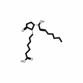 CCCCCC=CC(O)[C@H]1CCC(=O)[C@H]1CCCCCCC(=O)O